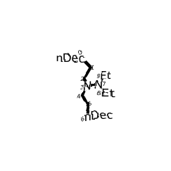 CCCCCCCCCCCCN(CCCCCCCCCCCC)N(CC)CC